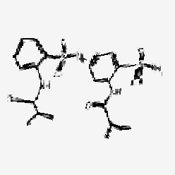 C=C(C)C(=O)Nc1ccccc1S(N)(=O)=O.C=C(C)C(=O)Nc1ccccc1S(N)(=O)=O